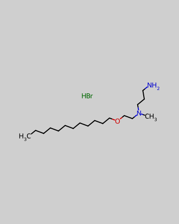 Br.CCCCCCCCCCCCOCCN(C)CCCN